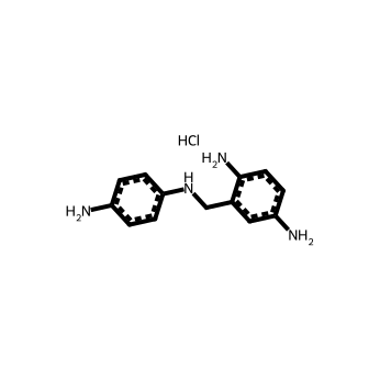 Cl.Nc1ccc(NCc2cc(N)ccc2N)cc1